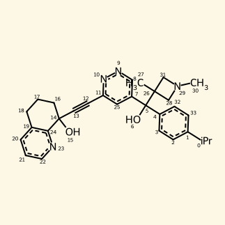 CC(C)c1ccc(C(O)(c2cnnc(C#CC3(O)CCCc4cccnc43)c2)C2(C)CN(C)C2)cc1